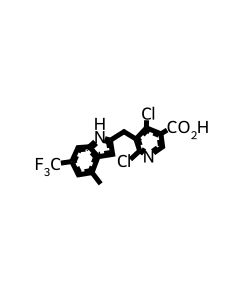 Cc1cc(C(F)(F)F)cc2[nH]c(Cc3c(Cl)ncc(C(=O)O)c3Cl)cc12